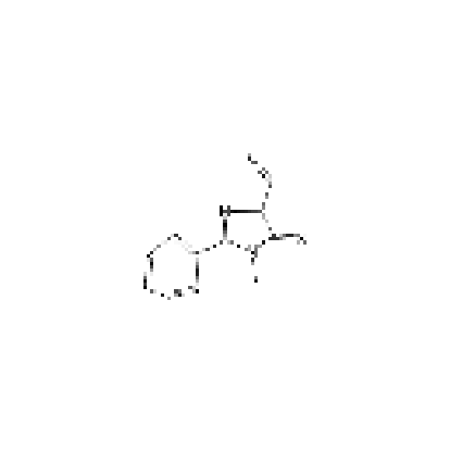 CN1C(=S)C(C=O)=NC1c1ccccc1